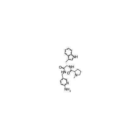 CN1CCCC1C(=O)N[C@@H](Cc1c[nH]c2ccccc12)C(=O)NCc1ccc(N)nc1